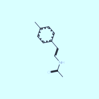 CC(=O)NC=Cc1ccc(C)cc1